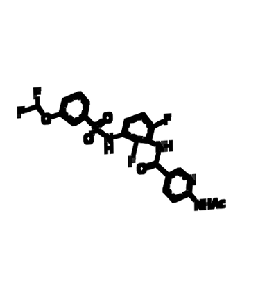 CC(=O)Nc1ccc(C(=O)Nc2c(F)ccc(NS(=O)(=O)c3cccc(OC(F)F)c3)c2F)cn1